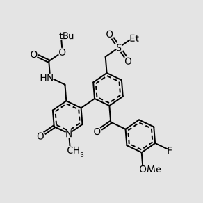 CCS(=O)(=O)Cc1ccc(C(=O)c2ccc(F)c(OC)c2)c(-c2cn(C)c(=O)cc2CNC(=O)OC(C)(C)C)c1